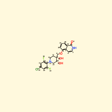 O=c1[nH]ccc2c(OC[C@]3(O)CCN(c4c(F)cc(Cl)cc4F)C[C@H]3O)cccc12